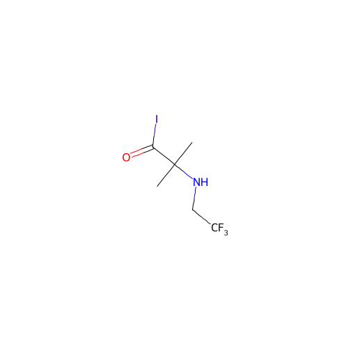 CC(C)(NCC(F)(F)F)C(=O)I